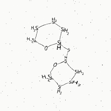 O1[SiH2][SiH2][SiH2][SiH2][SiH]1S[SiH]1O[SiH2][SiH2][SiH2][SiH2]1